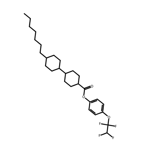 CCCCCCCC1CCC(C2CCC(C(=O)Oc3ccc(OC(F)(F)C(F)F)cc3)CC2)CC1